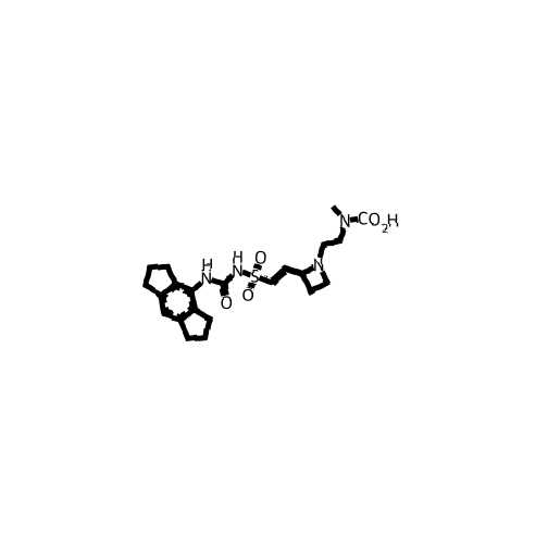 CN(CCN1CCC1/C=C/S(=O)(=O)NC(=O)Nc1c2c(cc3c1CCC3)CCC2)C(=O)O